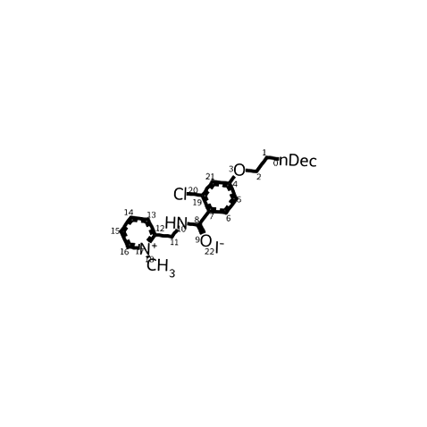 CCCCCCCCCCCCOc1ccc(C(=O)NCc2cccc[n+]2C)c(Cl)c1.[I-]